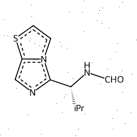 CC(C)[C@@H](NC=O)c1ncc2sccn12